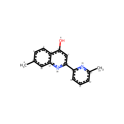 Cc1ccc2c(O)cc(-c3cccc(C)n3)nc2c1